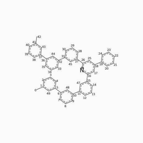 Cc1cccc(-c2cccc(-c3cccc(-c4cc(-c5ccccc5)cc(-c5cccc(-c6cccc(-c7cccc(C)c7)c6)c5)n4)c3)c2)c1